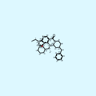 CCn1ncc2c(N[C@H](C)C3CCCCC3)c(C(=O)N3CCC(Cc4ccccc4)CC3)cnc21